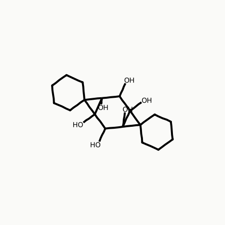 OC1C2(O)C3(CCCCC3)C2(O)C(O)C2(O)C3(CCCCC3)C12O